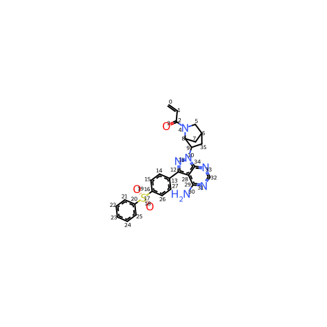 C=CC(=O)N1CC2CC1C(n1nc(-c3ccc(S(=O)(=O)c4ccccc4)cc3)c3c(N)ncnc31)C2